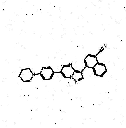 N#Cc1ccc(-c2cnn3cc(-c4ccc(N5CCCCC5)cc4)cnc23)c2ccccc12